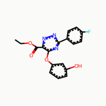 CCOC(=O)c1nnc(-c2ccc(F)cc2)nc1Oc1cccc(O)c1